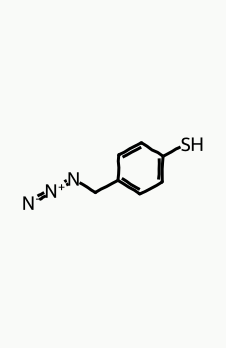 [N-]=[N+]=NCc1ccc(S)cc1